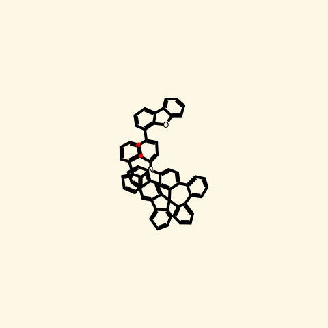 c1ccc(-c2ccccc2N(c2ccc(-c3cccc4c3oc3ccccc34)cc2)c2ccc3c(c2)C2(c4ccccc4-c4ccccc4-3)c3ccccc3-c3cc4ccccc4cc32)cc1